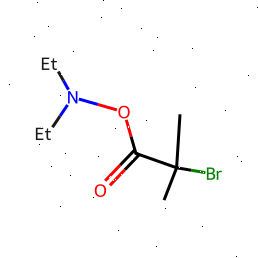 CCN(CC)OC(=O)C(C)(C)Br